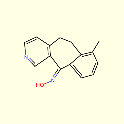 Cc1cccc2c1CCc1ccncc1C2=NO